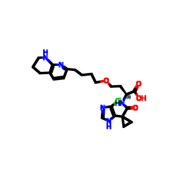 O=C(O)[C@H](CCOCCCCc1ccc2c(n1)NCCC2)NC(=O)C1(c2[nH]cnc2Cl)CC1